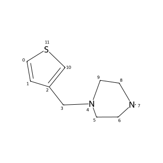 c1cc(CN2CC[N]CC2)cs1